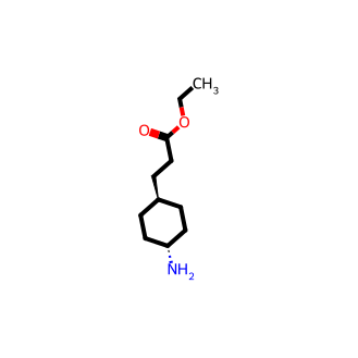 CCOC(=O)CC[C@H]1CC[C@H](N)CC1